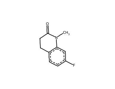 CN1C(=O)CCc2ccc(F)cc21